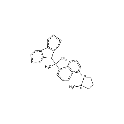 C[C@@H]1CCC[C@H]1c1cccc2c(C(C)(C)C3c4ccccc4-c4ccccc43)cccc12